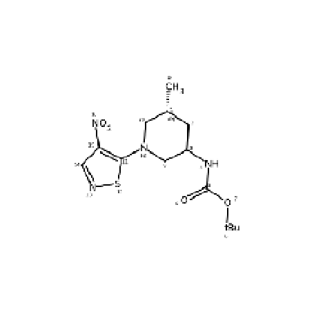 C[C@@H]1CC(NC(=O)OC(C)(C)C)CN(c2sncc2[N+](=O)[O-])C1